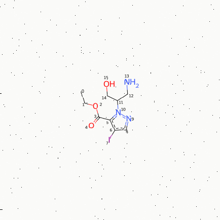 CCOC(=O)c1c(I)cnn1C(CN)CO